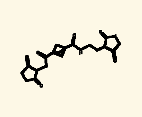 O=C1CSC(=O)N1CCNC(=O)C12CC(C(=O)ON3C(=O)CCC3=O)(C1)C2